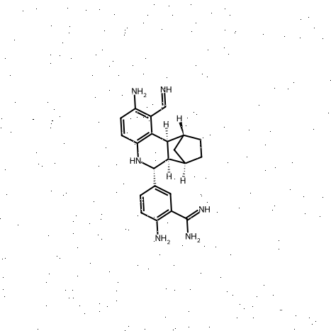 N=Cc1c(N)ccc2c1[C@H]1[C@@H]3CC[C@H](C3)[C@H]1[C@H](c1ccc(N)c(C(=N)N)c1)N2